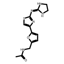 CC(=O)NCc1ccc(-c2csc(N=C3NCCN3)n2)o1